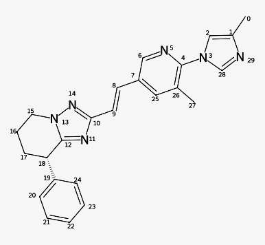 Cc1cn(-c2ncc(/C=C/c3nc4n(n3)CCC[C@H]4c3ccccc3)cc2C)cn1